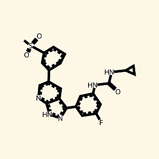 CS(=O)(=O)c1cccc(-c2cnc3[nH]nc(-c4cc(F)cc(NC(=O)NC5CC5)c4)c3c2)c1